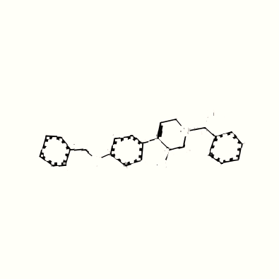 C[C@H](c1ccccc1)N1CC=C(c2ccc(OCc3ccccc3)cc2)[C@H](O)C1